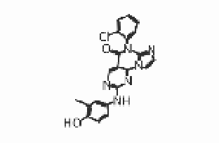 Cc1cc(Nc2ncc3c(=O)n(-c4ccccc4Cl)c4nccn4c3n2)ccc1O